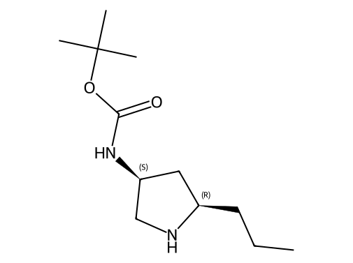 CCC[C@@H]1C[C@H](NC(=O)OC(C)(C)C)CN1